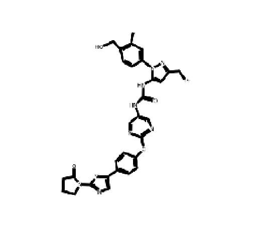 Cc1cc(-n2nc(CC(C)C)cc2NC(=O)Nc2cnc(Oc3ccc(-c4cnc(N5CCCC5=O)s4)cc3)nc2)ccc1CO